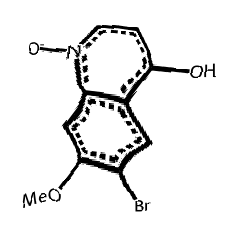 COc1cc2c(cc1Br)c(O)cc[n+]2[O-]